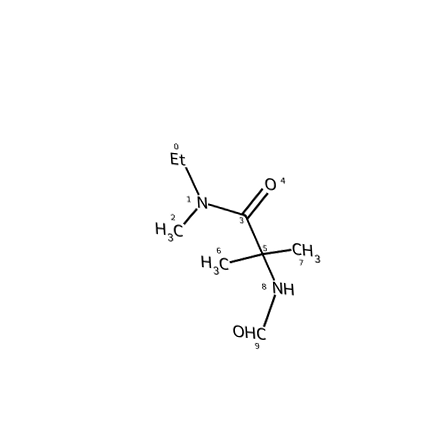 CCN(C)C(=O)C(C)(C)NC=O